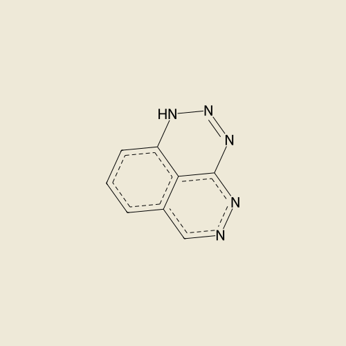 c1cc2c3c(nncc3c1)N=NN2